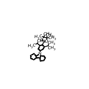 CC(C)c1cc(-n2c3ccccc3c3ccccc32)cc(C(C)C)c1B1OC(C)(C)C(C)(C)O1